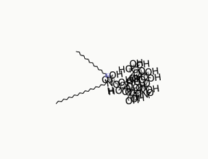 CCCCCCCCCCCCC/C=C/[C@@H](O)[C@H](CO[C@@H]1OC(CO)[C@@H](O[C@@H]2OC(CO)[C@H](O)[C@H](O[C@@H]3OC(CO)[C@@H](O[C@@H]4OC(CO)[C@H](O[C@@H]5OC(CO)[C@H](O)[C@H](O)C5O)[C@H](O)C4O)[C@H](O)C3NC(C)=O)C2O)[C@H](O)C1O)NC(=O)CCCCCCCCCCCCCCCCCCC